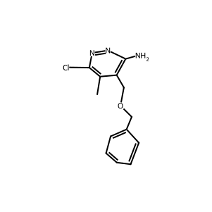 Cc1c(Cl)nnc(N)c1COCc1ccccc1